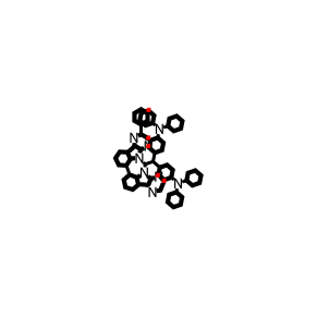 c1ccc(-c2cnc3c(n2)c2cccc4c2n3C(C(c2ccc(N(c3ccccc3)c3ccccc3)cc2)c2ccc(N(c3ccccc3)c3ccccc3)cc2)n2c3nccnc3c3cccc-4c32)cc1